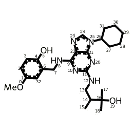 COc1ccc(O)c(CNc2nc(NCC(C)C(C)(C)O)nc3c2ncn3C2CCCCC2)c1